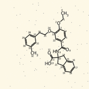 CCOc1ccc(C(=O)NC2(C(=O)O)Cc3ccccc3C2)cc1OCCc1cccc(C)c1